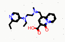 CCc1cc(N(CC)CCN(C)Cc2cc(C(=O)O)c(=O)n3ccccc23)ccn1